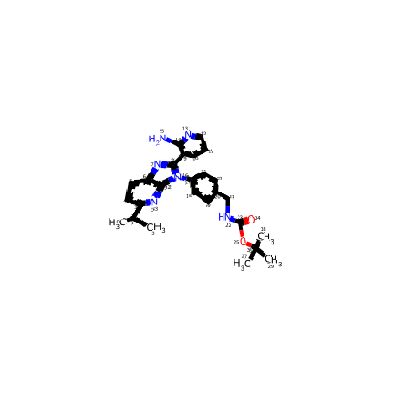 CC(C)c1ccc2nc(-c3cccnc3N)n(-c3ccc(CNC(=O)OC(C)(C)C)cc3)c2n1